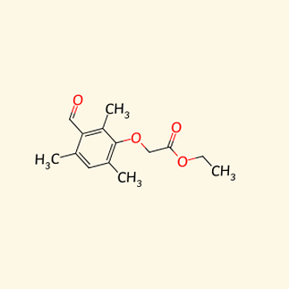 CCOC(=O)COc1c(C)cc(C)c(C=O)c1C